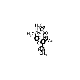 CC(=O)c1nn(CC(=O)N2C3C[C@]3(C)C[C@H]2C(=O)N[C@@H](C)c2ccc(C)cc2)c2ccc(-c3cnc(C)nc3)cc12